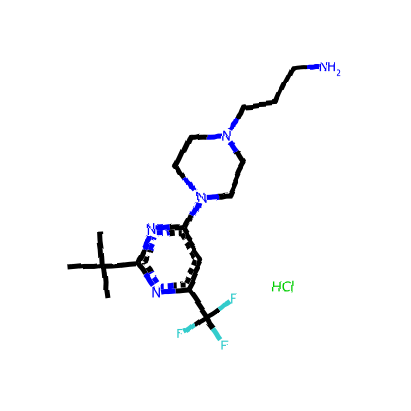 CC(C)(C)c1nc(N2CCN(CCCN)CC2)cc(C(F)(F)F)n1.Cl